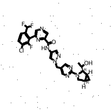 CC(O)[C@H]1[C@H]2C[C@H]2CN1c1ncc(Cn2cc(NC(=O)c3cncc(-c4c(C(F)F)ccc(Cl)c4F)n3)cn2)cn1